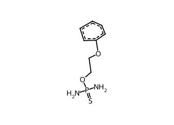 NP(N)(=S)OCCOc1ccccc1